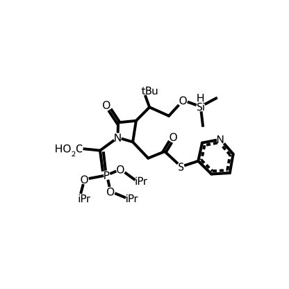 CC(C)OP(OC(C)C)(OC(C)C)=C(C(=O)O)N1C(=O)C(C(CO[SiH](C)C)C(C)(C)C)C1CC(=O)Sc1cccnc1